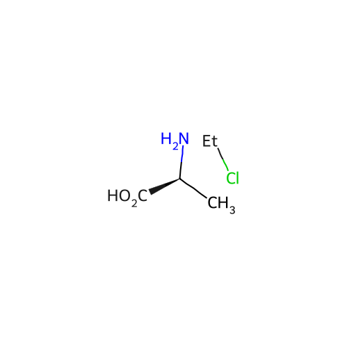 CCCl.C[C@H](N)C(=O)O